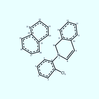 Clc1ccccc1N1C=Cc2ccccc2C1.c1ccc2ncccc2c1